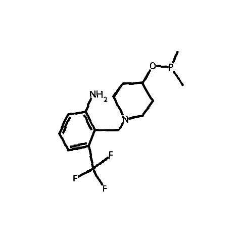 CP(C)OC1CCN(Cc2c(N)cccc2C(F)(F)F)CC1